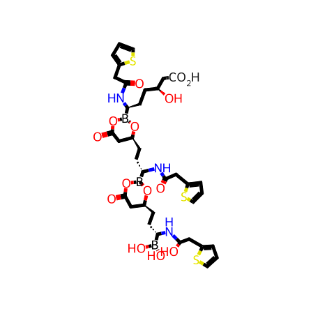 O=C(O)C[C@@H](O)CC[C@H](NC(=O)Cc1cccs1)B1OC(=O)C[C@H](CC[C@H](NC(=O)Cc2cccs2)B2OC(=O)C[C@H](CC[C@H](NC(O)Cc3cccs3)B(O)O)O2)O1